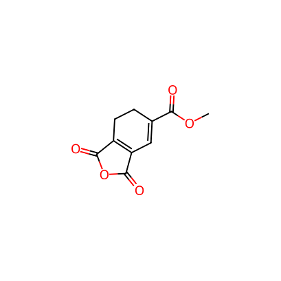 COC(=O)C1=CC2=C(CC1)C(=O)OC2=O